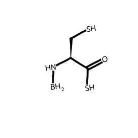 BN[C@@H](CS)C(=O)S